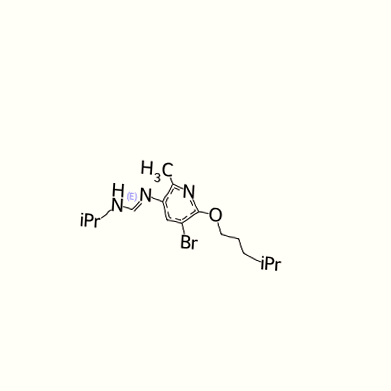 Cc1nc(OCCCC(C)C)c(Br)cc1/N=C/NC(C)C